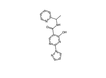 CC(NC(=O)c1cnc(-n2cccn2)nc1O)c1ccccn1